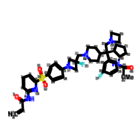 C=CC(=O)Nc1cccc(S(=O)(=O)c2ccc(N3CC(F)(CN4CCC(C(CN5CCC5)(c5cccc(F)c5)[C@H]5CCC[C@@H]5NC(=O)OC)CC4)C3)cc2)n1